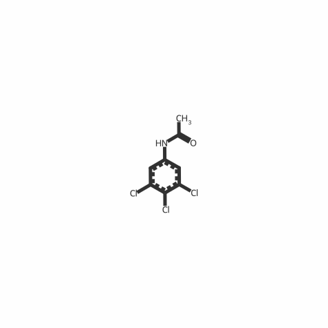 CC(=O)Nc1cc(Cl)c(Cl)c(Cl)c1